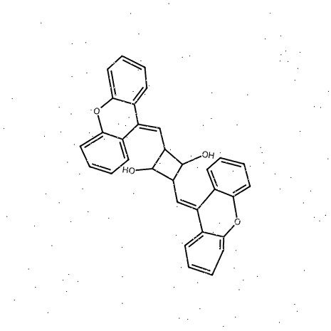 OC1C(C=C2c3ccccc3Oc3ccccc32)C(O)C1C=C1c2ccccc2Oc2ccccc21